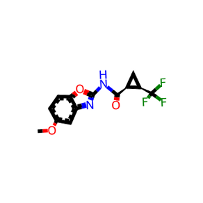 COc1ccc2oc(NC(=O)[C@H]3C[C@H]3C(F)(F)F)nc2c1